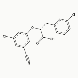 N#Cc1cc(Cl)cc(O[C@H](Cc2cccc(Cl)c2)C(=O)O)c1